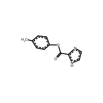 Cc1ccc(OC(=O)c2ncc[nH]2)cc1